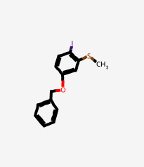 CSc1cc(OCc2ccccc2)ccc1I